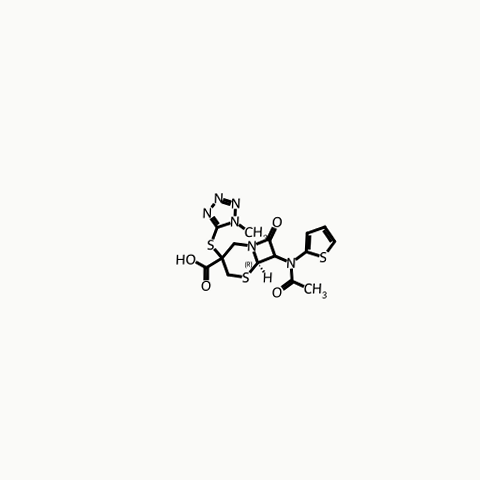 CC(=O)N(c1cccs1)C1C(=O)N2CC(Sc3nnnn3C)(C(=O)O)CS[C@H]12